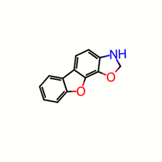 c1ccc2c(c1)oc1c3c(ccc12)NCO3